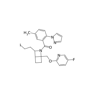 Cc1ccc(-n2cccn2)c(C(=O)N2C(CCI)C3CCC32COc2ccc(F)cn2)c1